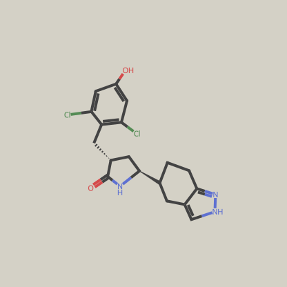 O=C1N[C@H](C2CCc3n[nH]cc3C2)C[C@H]1Cc1c(Cl)cc(O)cc1Cl